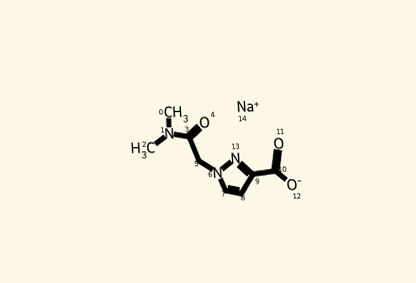 CN(C)C(=O)Cn1ccc(C(=O)[O-])n1.[Na+]